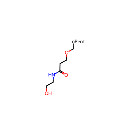 CCCCCCOCCC(=O)NCCO